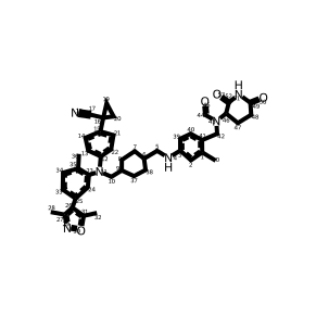 Cc1cc(NCC2CCC(CN(c3ccc(C4(C#N)CC4)cc3)c3cc(-c4c(C)noc4C)ccc3C)CC2)ccc1CN(C=O)C1CCC(=O)NC1=O